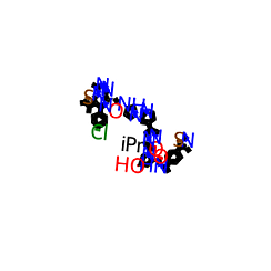 Cc1ncsc1-c1ccc(C(C)NC(=O)[C@@H]2C[C@@H](O)CN2C(=O)[C@@H](C(C)C)n2cc(-c3ccnc(N4CC[C@H](NC(=O)C[C@@H]5N=C(c6ccc(Cl)cc6)c6c(sc(C)c6C)-n6c(C)nnc65)C4)c3)cn2)cc1